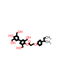 CCC(C)c1ccc(OCCC(=O)Oc2c(CO)cc(-c3cc(CO)c(O)c(CO)c3)cc2CO)cc1